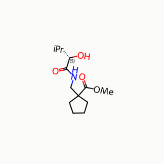 COC(=O)C1(CNC(=O)[C@@H](O)C(C)C)CCCC1